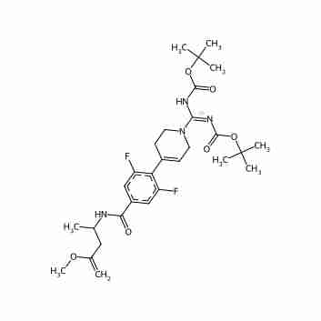 C=C(CC(C)NC(=O)c1cc(F)c(C2=CCN(/C(=N\C(=O)OC(C)(C)C)NC(=O)OC(C)(C)C)CC2)c(F)c1)OC